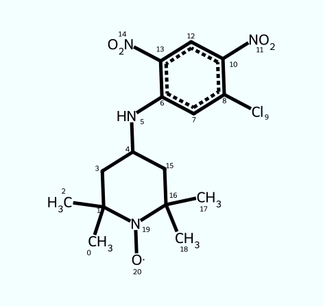 CC1(C)CC(Nc2cc(Cl)c([N+](=O)[O-])cc2[N+](=O)[O-])CC(C)(C)N1[O]